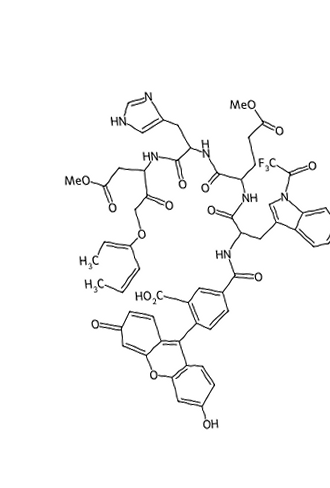 C/C=C\C(=C/C)OCC(=O)C(CC(=O)OC)NC(=O)C(Cc1c[nH]cn1)NC(=O)C(CCC(=O)OC)NC(=O)C(Cc1cn(C(=O)C(F)(F)F)c2ccccc12)NC(=O)c1ccc(-c2c3ccc(=O)cc-3oc3cc(O)ccc23)c(C(=O)O)c1